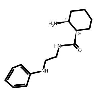 N[C@H]1CCCC[C@H]1C(=O)NCCNc1ccccc1